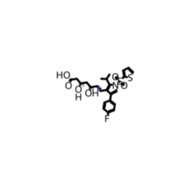 CC(C)c1c(/C=C/[C@@H](O)C[C@@H](O)CC(=O)O)c(-c2ccc(F)cc2)cn1S(=O)(=O)c1cccs1